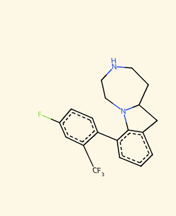 Fc1ccc(-c2cccc3c2N2CCNCCC2C3)c(C(F)(F)F)c1